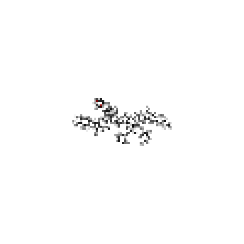 O=C1C(=Cc2cc3c(s2)-c2sc4c5c(sc4c2OC3(C(=O)OCc2ccccc2)C(=O)OCc2ccccc2)-c2sc(C=C3C(=O)c4cc6cc7ccccc7cc6cc4C3=O)cc2C(C(=O)OCc2ccccc2)(C(=O)OCc2ccccc2)O5)C(=O)c2cc3cc4ccccc4cc3cc21